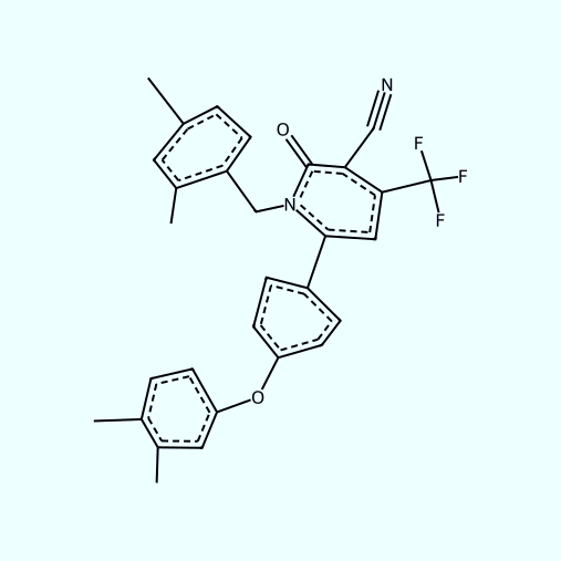 Cc1ccc(Cn2c(-c3ccc(Oc4ccc(C)c(C)c4)cc3)cc(C(F)(F)F)c(C#N)c2=O)c(C)c1